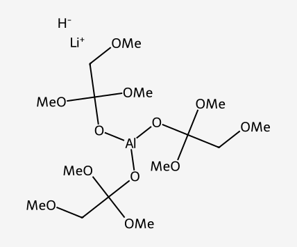 COCC(OC)(OC)[O][Al]([O]C(COC)(OC)OC)[O]C(COC)(OC)OC.[H-].[Li+]